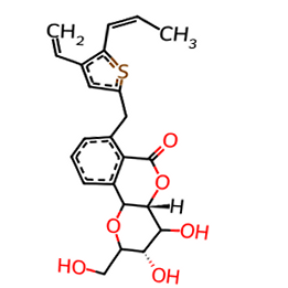 C=Cc1cc(Cc2cccc3c2C(=O)O[C@H]2C3OC(CO)[C@@H](O)C2O)sc1/C=C\C